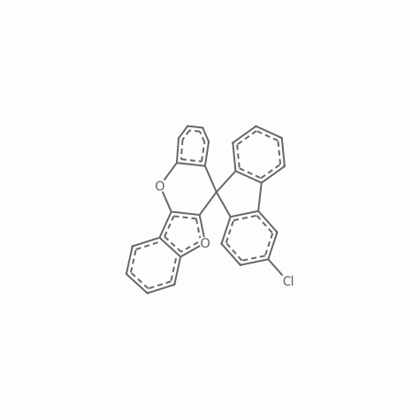 Clc1ccc2c(c1)-c1ccccc1C21c2ccccc2Oc2c1oc1ccccc21